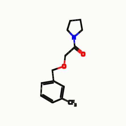 O=C(COCc1cccc(C(F)(F)F)c1)N1CCCC1